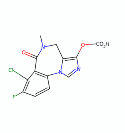 CN1Cc2c(OC(=O)O)ncn2-c2ccc(F)c(Cl)c2C1=O